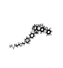 NCCOCCN1CCN([C@H]2CC[C@H](n3nc(-c4ccc(Oc5ccccc5)cc4)c4c(N)ncnc43)CC2)CC1